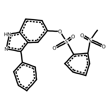 CS(=O)(=O)c1ccccc1S(=O)(=O)Oc1ccc2[nH]nc(-c3ccccc3)c2c1